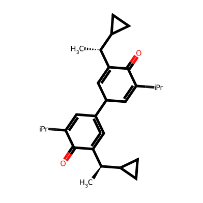 CC(C)C1=CC(C2C=C(C(C)C)C(=O)C([C@H](C)C3CC3)=C2)=C=C([C@H](C)C2CC2)C1=O